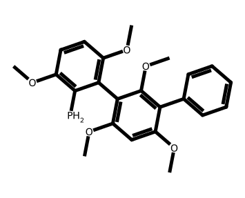 COc1ccc(OC)c(-c2c(OC)cc(OC)c(-c3ccccc3)c2OC)c1P